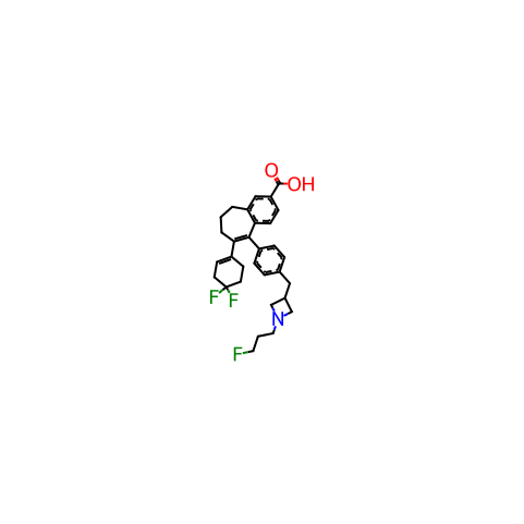 O=C(O)c1ccc2c(c1)CCCC(C1=CCC(F)(F)CC1)=C2c1ccc(CC2CN(CCCF)C2)cc1